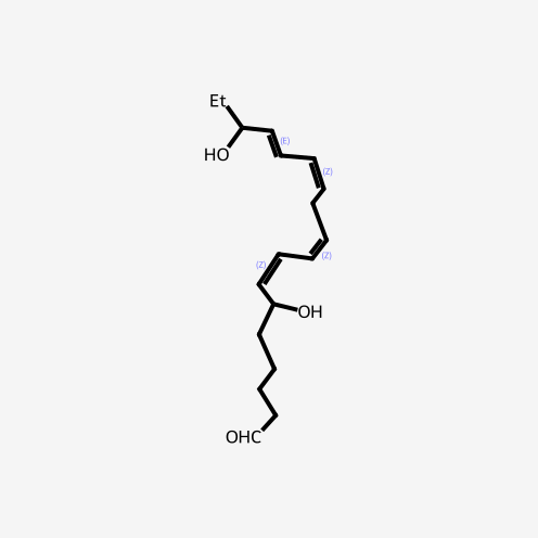 CCC(O)/C=C/C=C\C/C=C\C=C/C(O)CCCCC=O